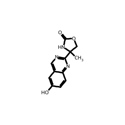 CC1(c2ncc3cc(O)ccc3n2)COC(=O)N1